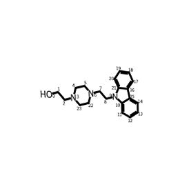 OCCN1CCN(CCn2c3ccccc3c3ccccc32)CC1